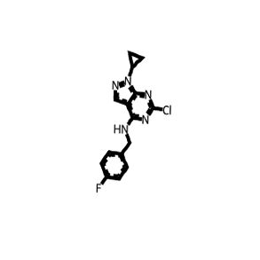 Fc1ccc(CNc2nc(Cl)nc3c2cnn3C2CC2)cc1